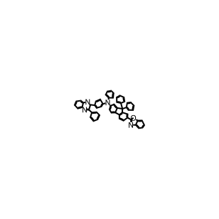 c1ccc(-c2nc3ccccc3nc2-c2ccc(N(c3ccccc3)c3ccc4c(c3)C(c3ccccc3)(c3ccccc3)c3cc(-c5nc6ccccc6o5)ccc3-4)cc2)cc1